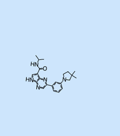 CC(C)NC(=O)c1c[nH]c2ncc(-c3cccc(N4CCC(C)(C)C4)c3)nc12